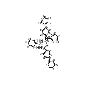 c1ccc(-c2ccc(C3=NC(n4c5ccccc5c5cc(-c6ccccc6)ccc54)NC(c4ccccc4)N3)cc2)cc1